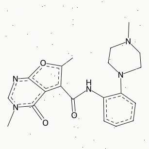 Cc1oc2ncn(C)c(=O)c2c1C(=O)Nc1ccccc1N1CCN(C)CC1